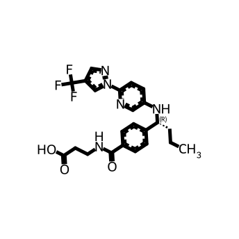 CCC[C@@H](Nc1ccc(-n2cc(C(F)(F)F)cn2)nc1)c1ccc(C(=O)NCCC(=O)O)cc1